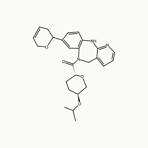 CC(C)O[C@H]1CC[C@H](C(=O)N2Cc3cccnc3Nc3ccc(C4CC=CCO4)cc32)OC1